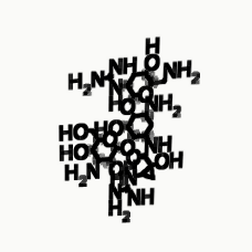 N=C(N)NC1CC1(O)C(=O)N[C@@H]1C[C@H](N)C(O[C@H]2O[C@H](CN)[C@@H](O)C[C@H]2NC(=N)N)[C@H](O)[C@H]1O[C@H]1O[C@H](CO)[C@@H](O)[C@H](N)[C@H]1O